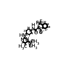 Cc1cnc(NC2CCC(NC(=O)C[S+]([O-])c3ccccc3C(F)(F)F)CC2)nc1N(C)C